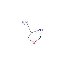 NC1COCN1